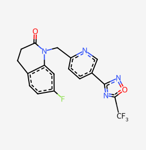 O=C1CCc2ccc(F)cc2N1Cc1ccc(-c2noc(C(F)(F)F)n2)cn1